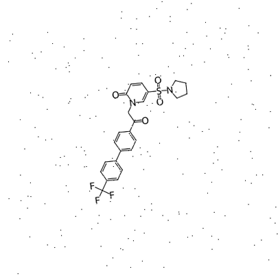 O=C(Cn1cc(S(=O)(=O)N2CCCC2)ccc1=O)c1ccc(-c2ccc(C(F)(F)F)cc2)cc1